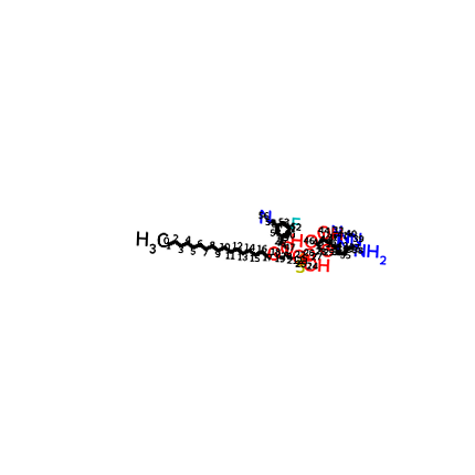 CCCCCCCCCCCCCCCCCCOC[C@H](CO[P@](O)(=S)OC[C@H]1O[C@@](C#N)(c2ccc3c(N)ncnn23)[C@H](O)[C@@H]1O)OCc1cc(F)cc(C#N)c1